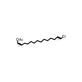 CC/C=C/CCCCCCCCCC/C=C\OC(C)=O